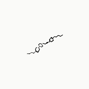 CCCCCc1ccc(C#CC=C[C@H]2CC[C@H]([C@H]3CC[C@H](CCCC)CC3)CC2)cc1